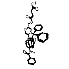 O=C(O)CCC(=O)OC[C@@H]1CN(C(c2ccccc2)(c2ccccc2)c2ccccc2)C(n2ccc(NC(=O)c3ccccc3)nc2=O)CO1